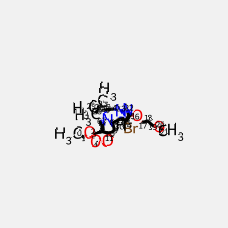 CCOC(=O)C1=CN2[C@H](CC1=O)c1c(Br)c(OCCCOC)nn1C[C@H]2C(C)(C)C